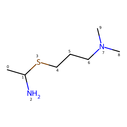 CC(N)SCCCN(C)C